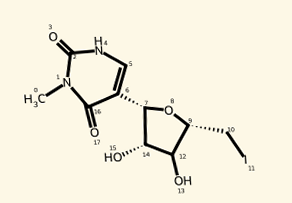 Cn1c(=O)[nH]cc([C@@H]2O[C@H](CI)C(O)[C@@H]2O)c1=O